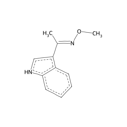 CON=C(C)c1c[nH]c2ccccc12